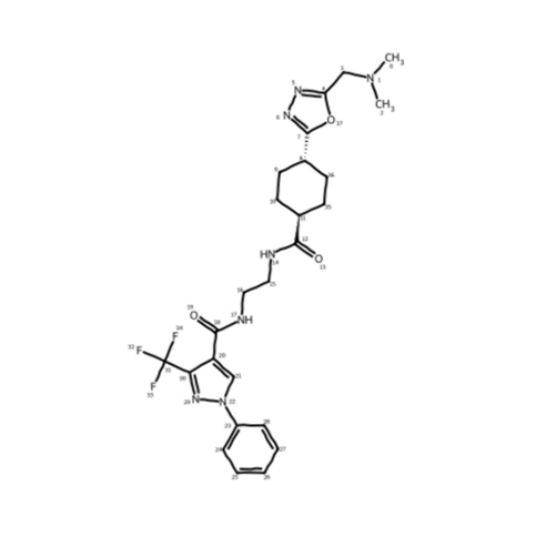 CN(C)Cc1nnc([C@H]2CC[C@H](C(=O)NCCNC(=O)c3cn(-c4ccccc4)nc3C(F)(F)F)CC2)o1